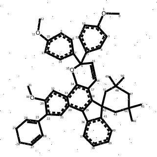 COc1ccc(C2(c3ccc(OC)cc3)C=Cc3c4c(c5cc(C6=CCCC=C6)c(OC)cc5c3O2)-c2ccccc2C42CC(C)(C)CC(C)(C)C2)cc1